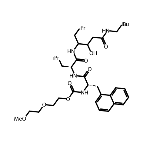 CCC(C)CNC(=O)CC(O)C(CC(C)C)NC(=O)[C@H](CC(C)C)NC(=O)[C@H](Cc1cccc2ccccc12)NC(=O)OCCOCCOC